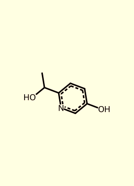 CC(O)c1ccc(O)cn1